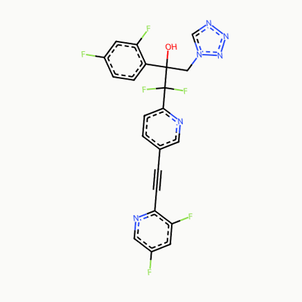 OC(Cn1cnnn1)(c1ccc(F)cc1F)C(F)(F)c1ccc(C#Cc2ncc(F)cc2F)cn1